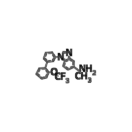 C[C@@H](N)c1ccc2c(c1)ncn2-c1cccc(-c2ccccc2OC(F)(F)F)c1